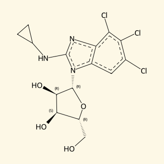 OC[C@H]1O[C@@H](n2c(NC3CC3)nc3c(Cl)c(Cl)c(Cl)cc32)[C@H](O)[C@@H]1O